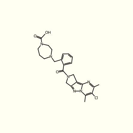 Cc1nc2c3c(nn2c(C)c1Cl)CN(C(=O)c1ccccc1CN1CCCN(C(=O)O)CC1)C3